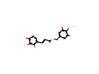 COc1c(O)cc(CNC(=S)/C=C/c2ccc(O)c(O)c2Cl)cc1O